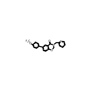 O=C1c2cc(-c3ccc(OC(F)(F)F)cc3)ccc2OCN1Cc1ccccn1